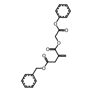 C=C(CC(=O)OCc1ccccc1)C(=O)OCC(=O)Oc1ccccc1